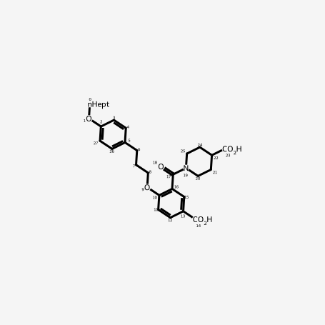 CCCCCCCOc1ccc(CCCOc2ccc(C(=O)O)cc2C(=O)N2CCC(C(=O)O)CC2)cc1